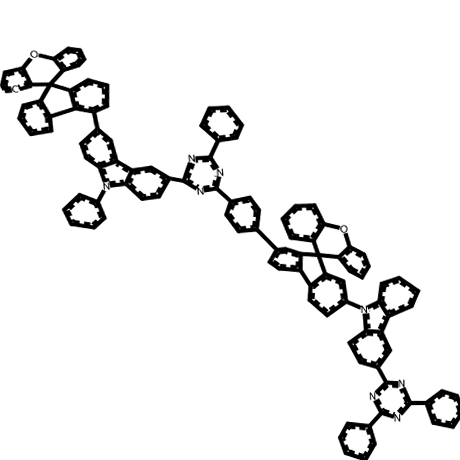 c1ccc(-c2nc(-c3ccccc3)nc(-c3ccc4c(c3)c3ccccc3n4-c3ccc4c(c3)C3(c5ccccc5Oc5ccccc53)c3cc(-c5ccc(-c6nc(-c7ccccc7)nc(-c7ccc8c(c7)c7cc(-c9cccc%10c9-c9ccccc9C%109c%10ccccc%10Oc%10ccccc%109)ccc7n8-c7ccccc7)n6)cc5)ccc3-4)n2)cc1